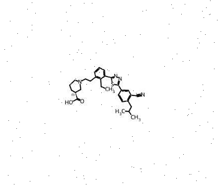 CCc1c(CCN2CCC[C@H](C(=O)O)C2)cccc1-c1nnc(-c2ccc(CC(C)C)c(C#N)c2)s1